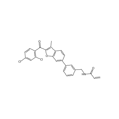 C=CC(=O)NCc1cccc(-c2ccc3c(C)c(C(=O)c4ccc(Cl)cc4Cl)oc3c2)c1